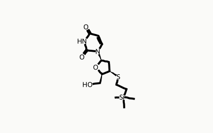 C[Si](C)(C)CCS[C@@H]1C[C@H](n2ccc(=O)[nH]c2=O)O[C@@H]1CO